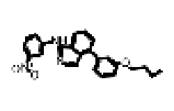 CCCCOc1cccc(-c2cccc3c(Nc4cccc([N+](=O)[O-])c4)nccc23)c1